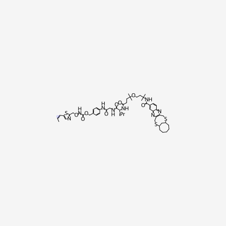 C/C=C\c1cnc(CONC(=O)OCc2ccc(NC(=O)CNC(=O)C(NC(=O)CCC(C)(C)OCCC(C)(C)NC(=O)c3ccc4nc5c(nc4c3)CSC3CCCCCC(C3)SC5)C(C)C)cc2)s1